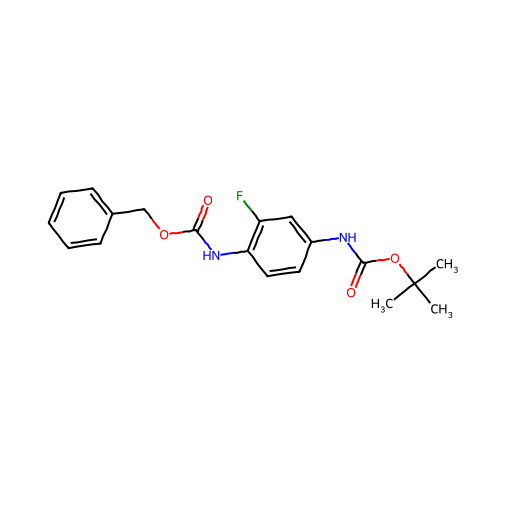 CC(C)(C)OC(=O)Nc1ccc(NC(=O)OCc2ccccc2)c(F)c1